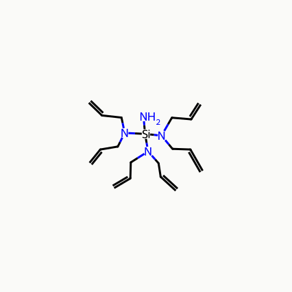 C=CCN(CC=C)[Si](N)(N(CC=C)CC=C)N(CC=C)CC=C